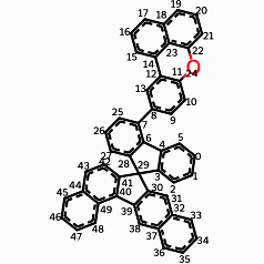 c1ccc2c(c1)-c1c(-c3ccc4c(c3)-c3cccc5cccc(c35)O4)cccc1C21c2cc3ccccc3cc2-c2c1ccc1ccccc21